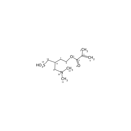 C=C(C)C(=O)OCCC(CN(C)C)CS(=O)(=O)O